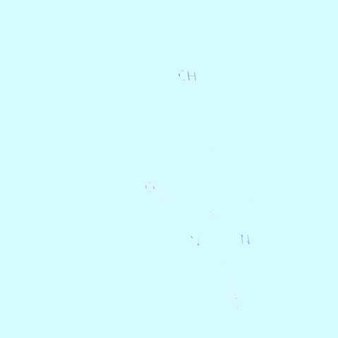 CC#Cc1cn2sn(c1=O)c2=O